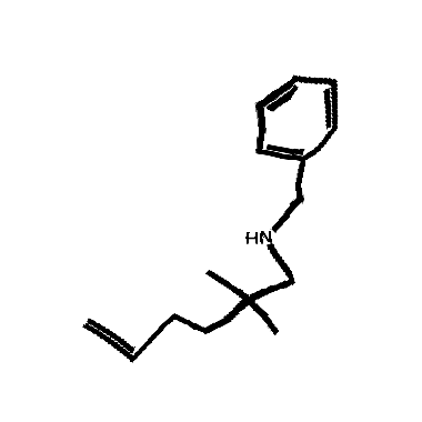 C=CCCC(C)(C)CNCc1ccccc1